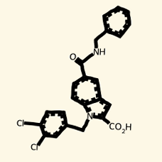 O=C(NCc1ccccc1)c1ccc2c(c1)cc(C(=O)O)n2Cc1ccc(Cl)c(Cl)c1